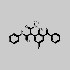 N=C(Nc1ccccc1)C(C(=O)NN)c1cc(Cl)cc(C(=O)c2ccccc2)c1N